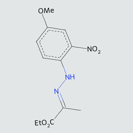 CCOC(=O)/C(C)=N/Nc1ccc(OC)cc1[N+](=O)[O-]